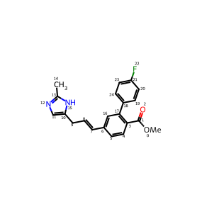 COC(=O)c1ccc(C=CCc2cnc(C)[nH]2)cc1-c1ccc(F)cc1